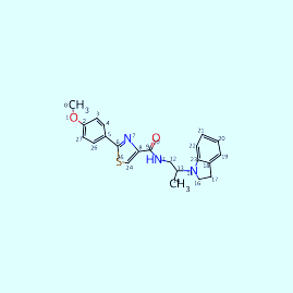 COc1ccc(-c2nc(C(=O)NCC(C)N3CCc4ccccc43)cs2)cc1